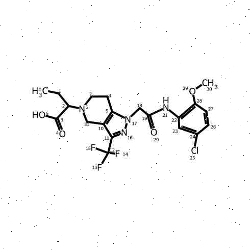 CCC(C(=O)O)N1CCc2c(c(C(F)(F)F)nn2CC(=O)Nc2cc(Cl)ccc2OC)C1